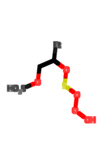 CCC(COS(=O)(=O)O)OSOOO